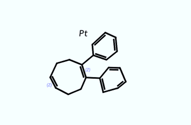 C1=C\CC/C(c2ccccc2)=C(/c2ccccc2)CC/1.[Pt]